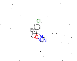 CCC1CCOC1(Cn1cncn1)c1ccc(Cl)cc1